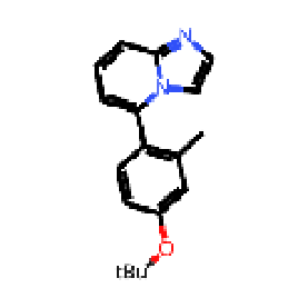 Cc1cc(OC(C)(C)C)ccc1-c1cccc2nccn12